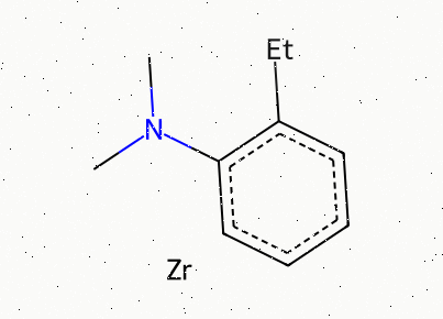 CCc1ccccc1N(C)C.[Zr]